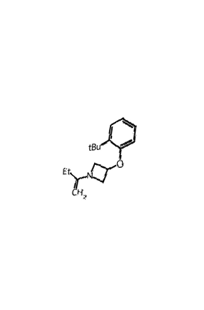 C=C(CC)N1CC(Oc2ccccc2C(C)(C)C)C1